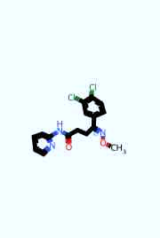 CO/N=C(\CCC(=O)Nc1ccccn1)c1ccc(Cl)c(Cl)c1